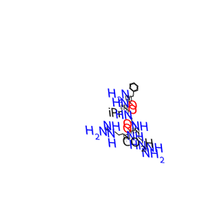 CC(C)C[C@H](NC(=O)[C@@H](N)Cc1ccccc1)C(=O)NCC(=O)N[C@@H](CCCNC(=N)N)C(=O)N[C@@H](CCCNC(=N)N)C(=O)O